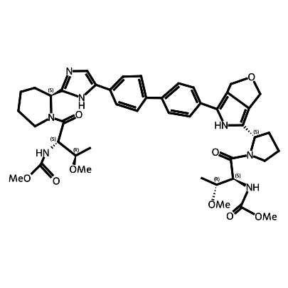 COC(=O)N[C@H](C(=O)N1CCCC[C@H]1c1ncc(-c2ccc(-c3ccc(-c4[nH]c([C@@H]5CCCN5C(=O)[C@@H](NC(=O)OC)[C@@H](C)OC)c5c4COC5)cc3)cc2)[nH]1)[C@@H](C)OC